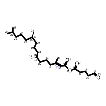 C/C(=C\C(=O)OC(=O)CCCC=O)CCC[C@H](C)CCC[C@H](C)CCCC(C)C